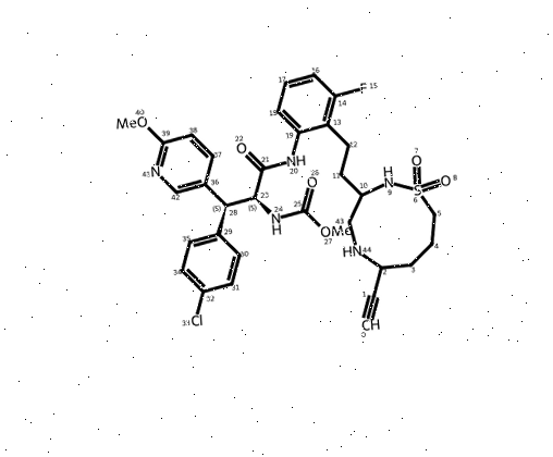 C#CC1CCCS(=O)(=O)NC(CCc2c(F)cccc2NC(=O)[C@@H](NC(=O)OC)[C@@H](c2ccc(Cl)cc2)c2ccc(OC)nc2)CN1